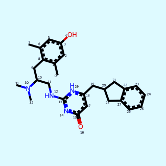 Cc1cc(O)cc(C)c1CC(CNc1nc(=O)cc(CC2Cc3ccccc3C2)[nH]1)N(C)C